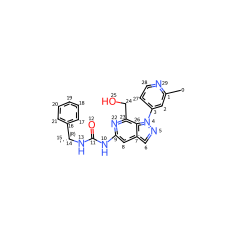 Cc1cc(-n2ncc3cc(NC(=O)N[C@H](C)c4ccccc4)nc(CO)c32)ccn1